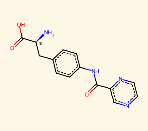 N[C@@H](Cc1ccc(NC(=O)c2cnccn2)cc1)C(=O)O